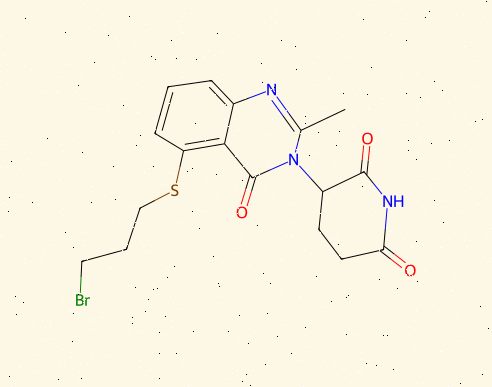 Cc1nc2cccc(SCCCBr)c2c(=O)n1C1CCC(=O)NC1=O